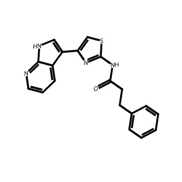 O=C(CCc1ccccc1)Nc1nc(-c2c[nH]c3ncccc23)cs1